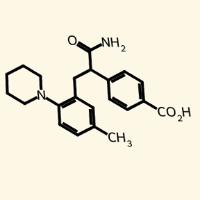 Cc1ccc(N2CCCCC2)c(CC(C(N)=O)c2ccc(C(=O)O)cc2)c1